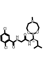 CC(C)C[C@@H](NC(=O)CNC(=O)c1cc(Cl)ccc1Cl)B1OCCN(C)CCO1